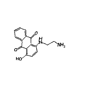 NCCNc1ccc(O)c2c1C(=O)c1ccccc1C2=O